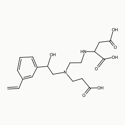 C=Cc1cccc(C(O)CN(CCNC(CC(=O)O)C(=O)O)CCC(=O)O)c1